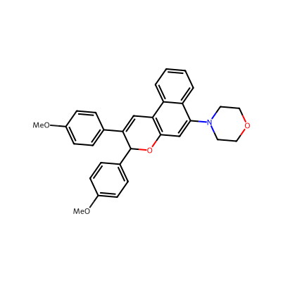 COc1ccc(C2=Cc3c(cc(N4CCOCC4)c4ccccc34)OC2c2ccc(OC)cc2)cc1